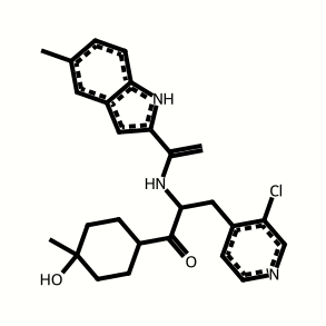 C=C(NC(Cc1ccncc1Cl)C(=O)C1CCC(C)(O)CC1)c1cc2cc(C)ccc2[nH]1